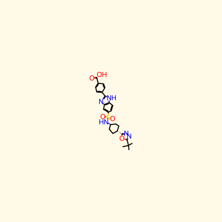 CC(C)(C)c1nnc([C@H]2CC[C@H](NS(=O)(=O)c3ccc4[nH]c(-c5ccc(C(=O)O)cc5)nc4c3)CC2)o1